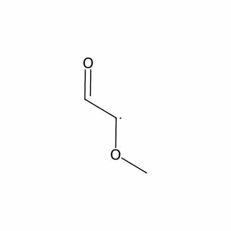 CO[CH]C=O